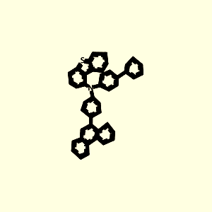 c1ccc(-c2ccc(N(c3ccc(-c4cc5ccccc5c5ccccc45)cc3)c3cccc4sc5ccccc5c34)cc2)cc1